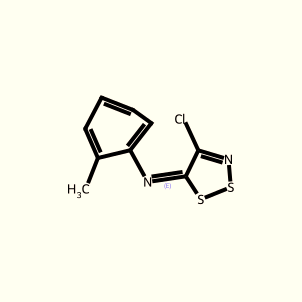 Cc1ccccc1/N=c1/ssnc1Cl